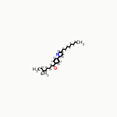 CCCCCCCCc1ccc(-c2ccc(C(=O)CCCCC(C)CC)cc2)nc1